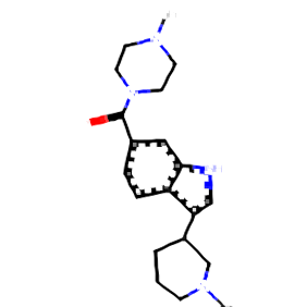 CC(C)N1CCN(C(=O)c2ccc3c(C4CCCN(C(C)C)C4)c[nH]c3c2)CC1